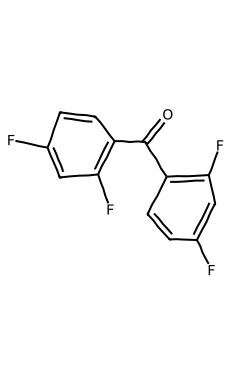 O=C(c1ccc(F)cc1F)c1ccc(F)cc1F